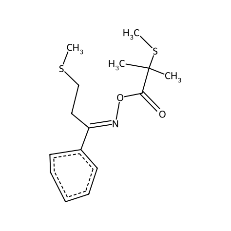 CSCC/C(=N\OC(=O)C(C)(C)SC)c1ccccc1